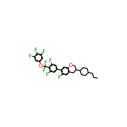 CCCC1CCC(C2COc3cc(-c4cc(F)c(C(F)(F)Oc5cc(F)c(F)c(F)c5)c(F)c4)c(F)cc3C2)CC1